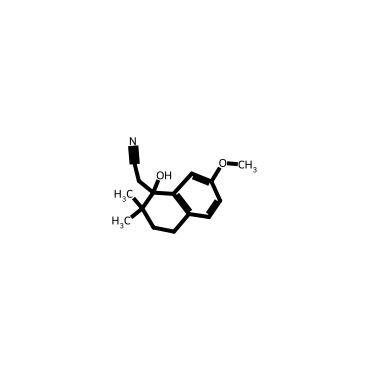 COc1ccc2c(c1)C(O)(CC#N)C(C)(C)CC2